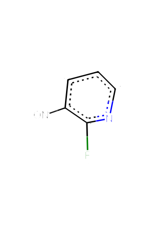 O=Nc1cccnc1F